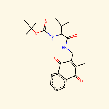 CC1=C(CNC(=O)C(NC(=O)OC(C)(C)C)C(C)C)C(=O)c2ccccc2C1=O